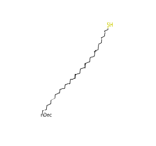 CCCCCCCCCCCCCCCCCCCCCCCCCCCCCCCCCCCCCCCCS